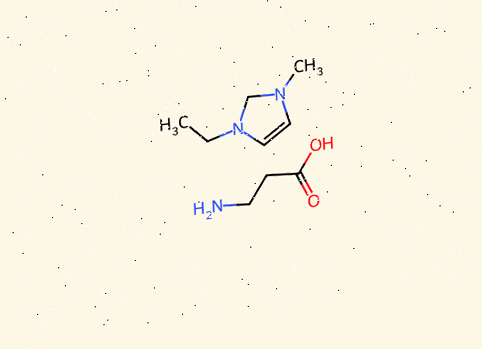 CCN1C=CN(C)C1.NCCC(=O)O